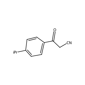 CC(C)c1ccc(C(=O)CC#N)cc1